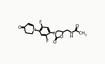 CC(=O)NCC1CN(c2cc(F)c(N3C=CC(=O)CC3)cc2F)C(=O)O1